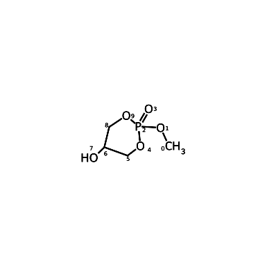 COP1(=O)OCC(O)CO1